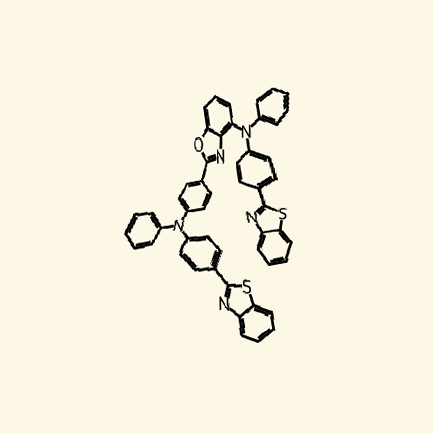 c1ccc(N(c2ccc(-c3nc4c(N(c5ccccc5)c5ccc(-c6nc7ccccc7s6)cc5)cccc4o3)cc2)c2ccc(-c3nc4ccccc4s3)cc2)cc1